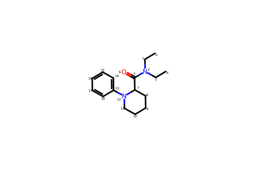 CCN(CC)C(=O)C1CCCCN1c1ccccc1